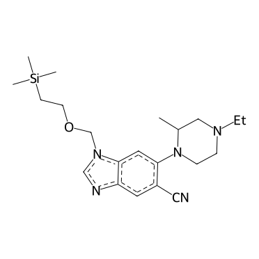 CCN1CCN(c2cc3c(cc2C#N)ncn3COCC[Si](C)(C)C)C(C)C1